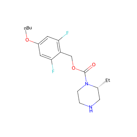 CCCCOc1cc(F)c(COC(=O)N2CCNC[C@H]2CC)c(F)c1